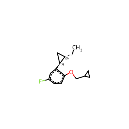 CC[C@H]1C[C@@H]1c1cc(F)ccc1OCC1CC1